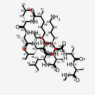 CNC(=O)[C@H](C)NC(=O)[C@H](C)NC(=O)[C@H](CCCCN)NC(=O)[C@H](CC(C)C)NC(=O)[C@H](C)NC(=O)[C@H](CCCCN)NC(=O)[C@H](CC(C)C)NC(=O)[C@H](C)NC(=O)[C@H](CC(C)C)NC(=O)[C@@H](C)CCCCN